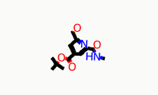 CNC(=O)c1cc(C(=O)OC(C)(C)C)cc(C=O)n1